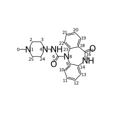 CN1CCN(NC(=O)N2c3ccccc3NC(=O)c3ccccc32)CC1